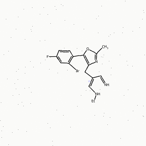 CCN/C=C(\C=N)Cc1nc(C)oc1-c1ccc(F)cc1Br